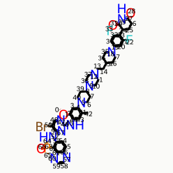 COc1cc(N2CCC(N3CCN(CCC4CCN(c5cc(F)c(C6CCC(=O)NC6=O)c(F)c5)CC4)CC3)CC2)c(C)cc1Nc1ncc(Br)c(Nc2ccc3nccnc3c2P(C)(C)=O)n1